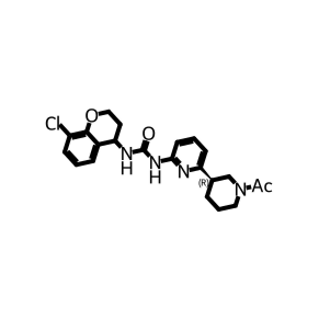 CC(=O)N1CCC[C@@H](c2cccc(NC(=O)NC3CCOc4c(Cl)cccc43)n2)C1